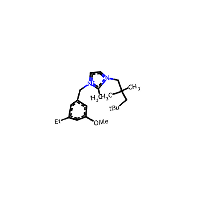 CCc1cc(C[n+]2ccn(CC(C)(C)CC(C)(C)C)c2C)cc(OC)c1